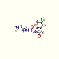 CN(C)CCCNC(=O)CN1C(=O)Cc2cc(Cl)ccc21